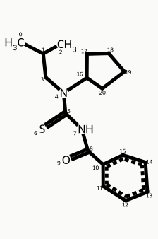 CC(C)CN(C(=S)NC(=O)c1ccccc1)C1CCCC1